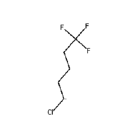 FC(F)(F)CCC[CH]Cl